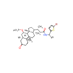 CC(C)C(NC(=O)C[C@@H](C)C1CC[C@H]2[C@@H]3[C@H](OS(=O)(=O)O)C[C@@H]4CC(=O)CC[C@]4(C)[C@H]3CC[C@]12C)c1ccc(Br)s1